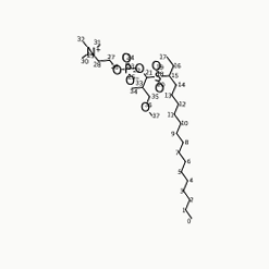 CCCCCCCCCCCCCCCC(CC)S(=O)(=O)C(OP(=O)([O-])OCC[N+](C)(C)C)C(C)COC